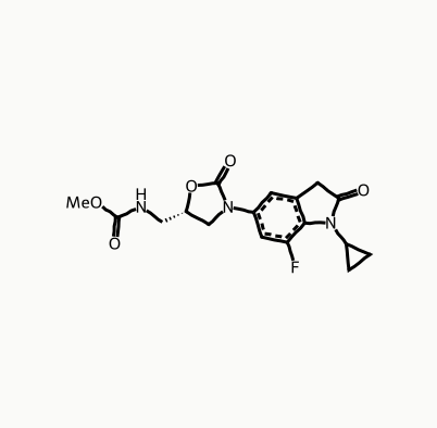 COC(=O)NC[C@H]1CN(c2cc(F)c3c(c2)CC(=O)N3C2CC2)C(=O)O1